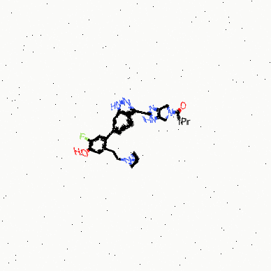 CC(C)C(=O)N1Cc2nc(-c3n[nH]c4cc(-c5cc(F)c(O)cc5CC[N+]56CC5C6)ccc34)[nH]c2C1